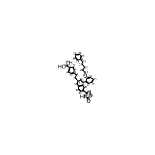 C=C(O)c1ccc(CCC(/C=C/c2ccccc2OCCCCCc2ccccc2)Cc2ccc(-c3noc(=O)[nH]3)cc2)cc1